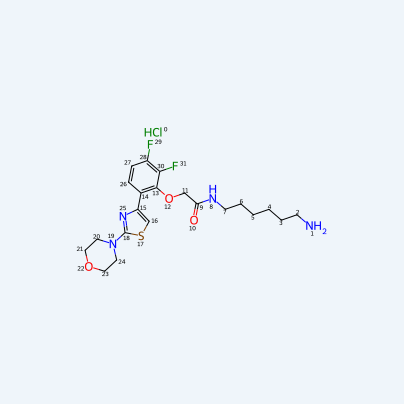 Cl.NCCCCCCNC(=O)COc1c(-c2csc(N3CCOCC3)n2)ccc(F)c1F